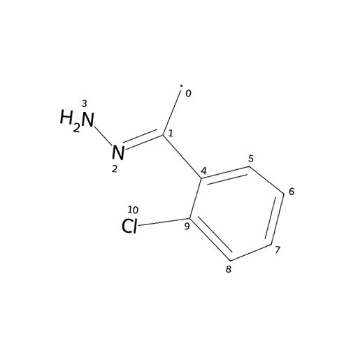 [CH2]C(=NN)c1ccccc1Cl